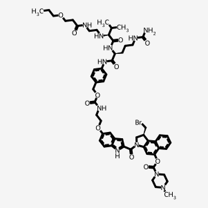 CCCOCCC(=O)NCCN[C@H](C(=O)N[C@@H](CCCNC(N)=O)C(=O)Nc1ccc(COC(=O)NCCOc2ccc3[nH]c(C(=O)N4C[C@@H](CBr)c5c4cc(OC(=O)N4CCN(C)CC4)c4ccccc54)cc3c2)cc1)C(C)C